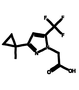 CC1(c2cc(C(F)(F)F)n(CC(=O)O)n2)CC1